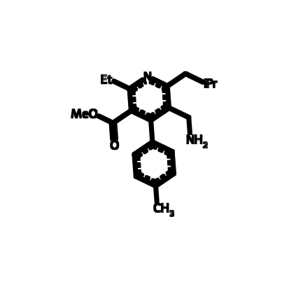 CCc1nc(CC(C)C)c(CN)c(-c2ccc(C)cc2)c1C(=O)OC